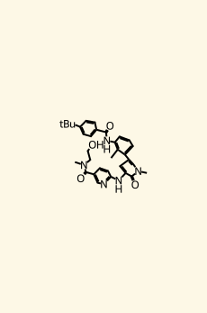 Cc1c(NC(=O)c2ccc(C(C)(C)C)cc2)cccc1-c1cc(Nc2ccc(C(=O)N(C)CCO)cn2)c(=O)n(C)c1